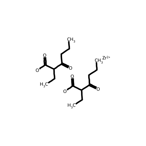 CCCC(=O)C(CC)C(=O)[O-].CCCC(=O)C(CC)C(=O)[O-].[Zr+2]